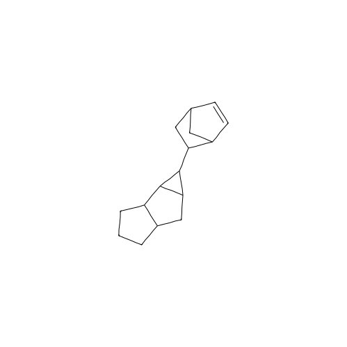 C1=CC2CC1CC2C1C2CC3CCCC3C21